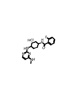 CNc1ccnc(NC2CCC(NC(=O)c3ccccc3F)CC2)n1.Cl